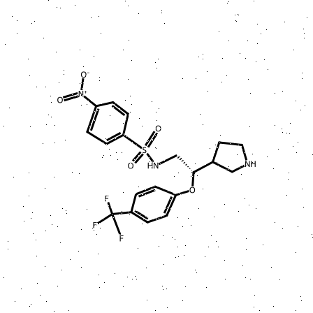 O=[N+]([O-])c1ccc(S(=O)(=O)NC[C@@H](Oc2ccc(C(F)(F)F)cc2)C2CCNC2)cc1